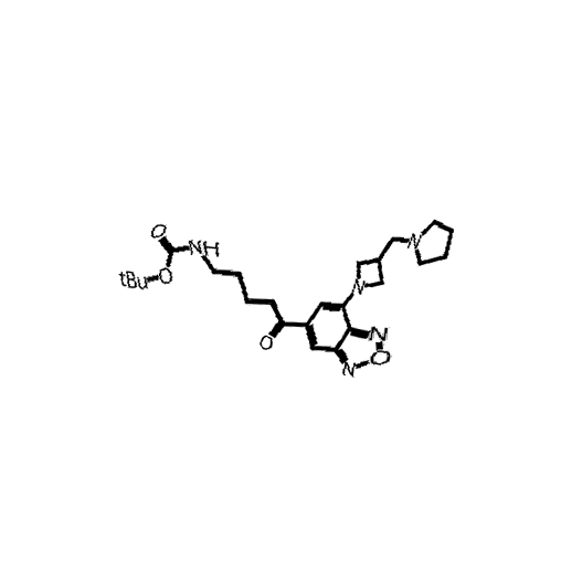 CC(C)(C)OC(=O)NCCCCC(=O)c1cc(N2CC(CN3CCCC3)C2)c2nonc2c1